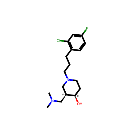 CN(C)C[C@H]1CN(CCCc2ccc(F)cc2Cl)CC[C@H]1O